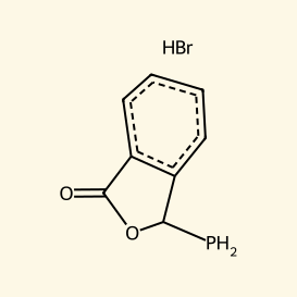 Br.O=C1OC(P)c2ccccc21